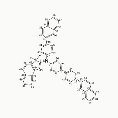 CC1(C)C(N(c2ccc(-c3ccc(-c4ccc5ccccc5c4)cc3)cc2)c2ccc(-c3ccc4ccccc4c3)cc2)=Cc2c1ccc1ccccc21